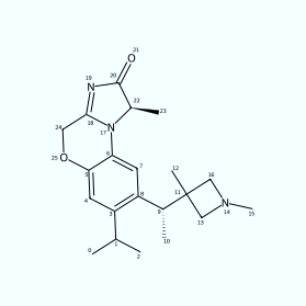 CC(C)c1cc2c(cc1[C@@H](C)C1(C)CN(C)C1)N1C(=NC(=O)[C@H]1C)CO2